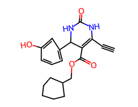 C#CC1=C(C(=O)OCC2CCCCC2)C(c2cccc(O)c2)NC(=O)N1